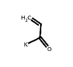 C=C[C](=O)[K]